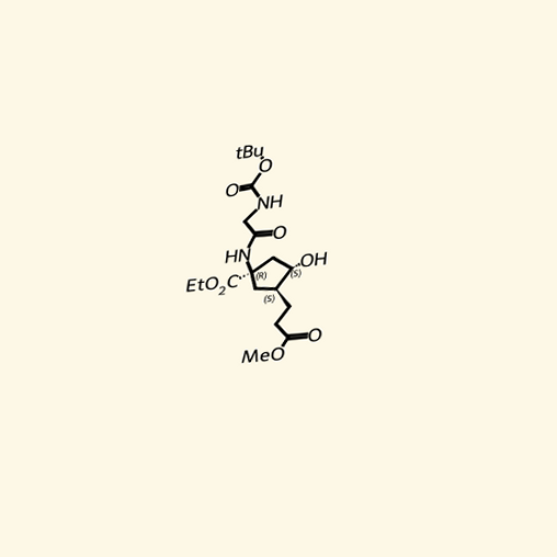 CCOC(=O)[C@@]1(NC(=O)CNC(=O)OC(C)(C)C)C[C@H](CCC(=O)OC)[C@@H](O)C1